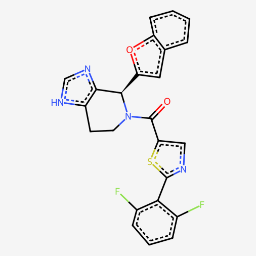 O=C(c1cnc(-c2c(F)cccc2F)s1)N1CCc2[nH]cnc2[C@H]1c1cc2ccccc2o1